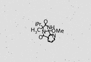 COC12NC(=O)C(C)(C(C)C)N1C(=O)c1cccnc12